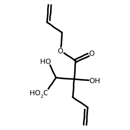 C=CCOC(=O)C(O)(CC=C)C(O)C(=O)O